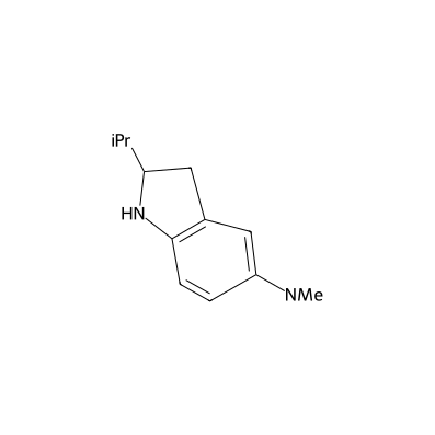 CNc1ccc2c(c1)CC(C(C)C)N2